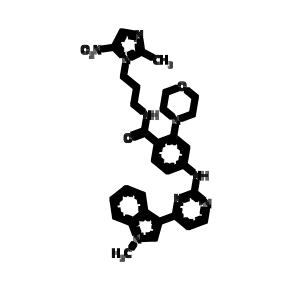 Cc1ncc([N+](=O)[O-])n1CCCNC(=O)c1ccc(Nc2nccc(-c3cn(C)c4ccccc34)n2)cc1N1CCOCC1